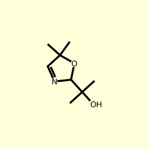 CC1(C)C=NC(C(C)(C)O)O1